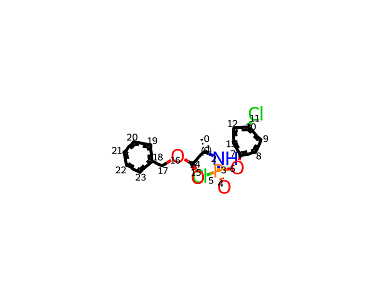 C[C@H](NP(=O)(Cl)Oc1ccc(Cl)cc1)C(=O)OCc1ccccc1